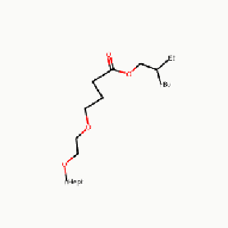 CCCCCCCOCCOCCCC(=O)OCC(CC)CCCC